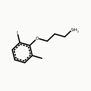 Cc1cccc(I)c1OCCC[SiH3]